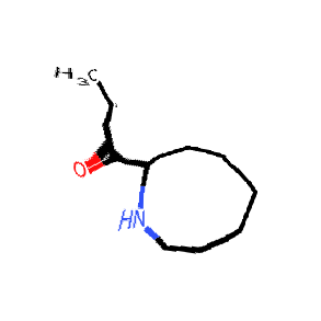 C[C]C(=O)C1CCCCCCN1